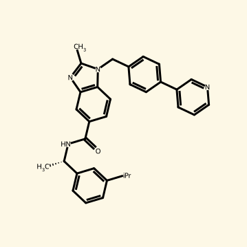 Cc1nc2cc(C(=O)N[C@@H](C)c3cccc(C(C)C)c3)ccc2n1Cc1ccc(-c2cccnc2)cc1